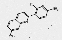 CCc1nc(N)ccc1-c1ccc2ccc(C#N)cc2n1